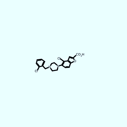 O=C(O)c1cc2c(Cl)c(N3CCN(Cc4ccccc4Cl)CC3)ccc2o1